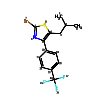 CC(C)Cc1sc(Br)nc1-c1ccc(C(F)(F)F)cc1